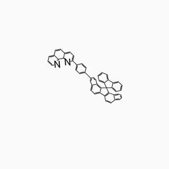 c1ccc2c(c1)-c1ccccc1C21c2c(ccc3ccccc23)-c2ccc3cc(-c4ccc(-c5ccc6ccc7cccnc7c6n5)cc4)ccc3c21